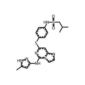 Cc1cc(Nc2nc(Sc3ccc(NS(=O)(=O)CC(C)C)cc3)cc3nccn23)n[nH]1